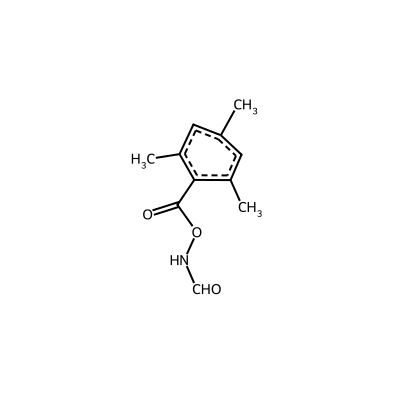 Cc1cc(C)c(C(=O)ONC=O)c(C)c1